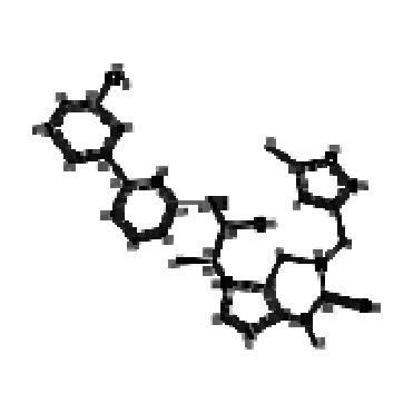 Cc1cc(CN2Cc3c(ncn3[C@@H](C)C(=O)Nc3cccc(-c4cncc(C(F)(F)F)c4)n3)N(C)C2=O)no1